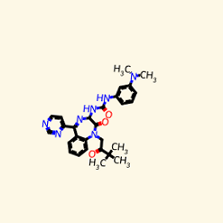 CN(C)c1cccc(NC(=O)NC2N=C(c3ccncn3)c3ccccc3N(CC(=O)C(C)(C)C)C2=O)c1